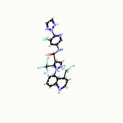 O=C(Nc1cnc(-n2nccn2)c(Cl)c1)c1cnn(-c2cccc3nccc(C(F)F)c23)c1C(F)(F)F